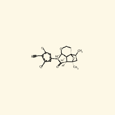 CC1[CH][C@]2(C)O[C@]13CCO[C@H]1[C@@H]3[C@@H]2C(=O)N1c1cc(Cl)c(C#N)c(Cl)c1